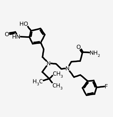 CC(C)(C)CN(CCc1ccc(O)c(NC=O)c1)CCN(CCC(N)=O)CCc1cccc(F)c1